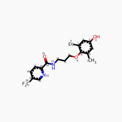 CCc1cc(O)cc(C)c1OCCCNC(=O)c1ccc(C(F)(F)F)cn1